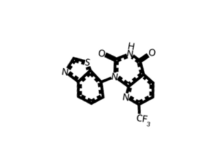 O=c1[nH]c(=O)n(-c2cccc3ncsc23)c2nc(C(F)(F)F)ccc12